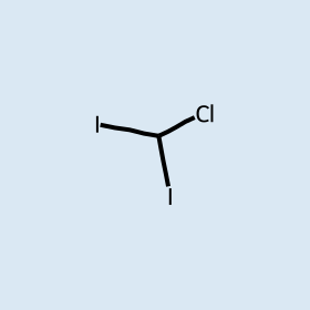 ClC(I)I